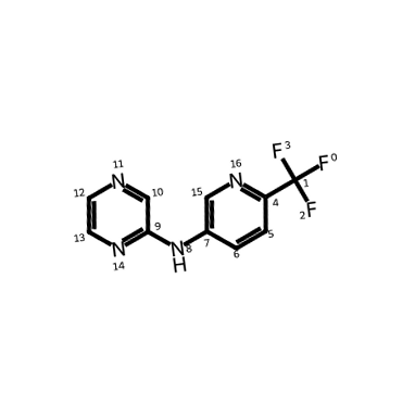 FC(F)(F)c1ccc(Nc2cnccn2)cn1